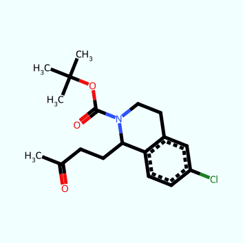 CC(=O)CCC1c2ccc(Cl)cc2CCN1C(=O)OC(C)(C)C